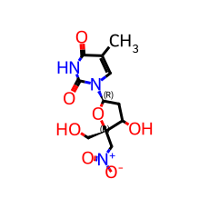 Cc1cn([C@H]2CC(O)[C@](CO)(C[N+](=O)[O-])O2)c(=O)[nH]c1=O